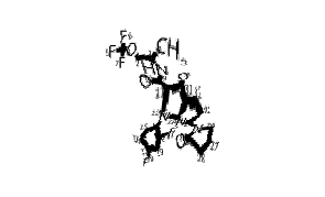 CC(COC(F)(F)F)NC(=O)c1cn(-c2ccc(F)cc2F)c2nc(N3CCCC3=O)ccc2c1=O